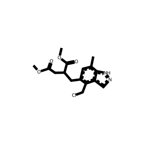 COC(=O)CC(Cc1cc(C)c2[nH]ncc2c1CCl)C(=O)OC